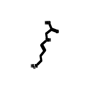 NCCC=CNCC(=O)O